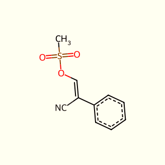 CS(=O)(=O)O/C=C(\C#N)c1ccccc1